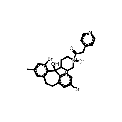 Cc1cc(Br)c2c(c1)CCc1cc(Br)cnc1C2(O)C1CC[N+]([O-])(C(=O)Cc2ccncc2)CC1